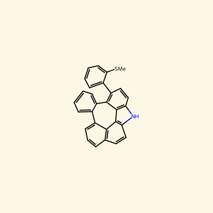 CSc1ccccc1-c1ccc2[nH]c3ccc4cccc5c4c3c2c1-c1ccccc1-5